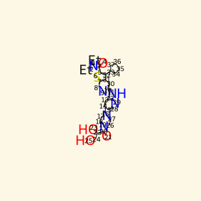 CCN(CC)C(=O)c1sc2cnc(Nc3ccc(N4CCN(C(=O)C(O)CO)CC4)cn3)cc2c1C1CCCC1